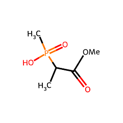 COC(=O)C(C)P(C)(=O)O